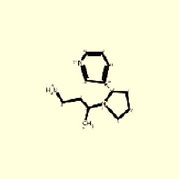 CC(CCN)N1CCC[C@H]1c1cccnc1